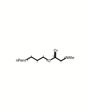 CCCCCCCCOC(=O)C[N]C